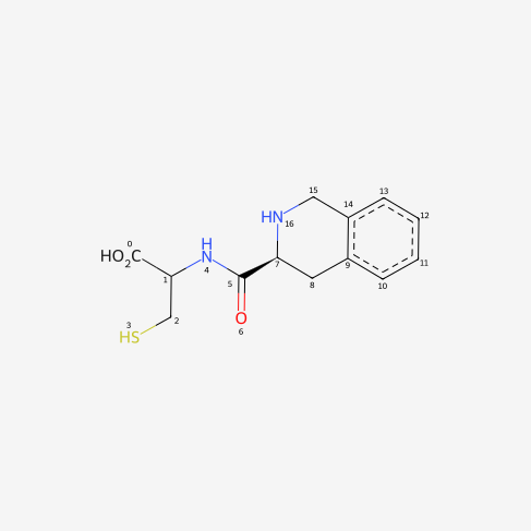 O=C(O)C(CS)NC(=O)[C@@H]1Cc2ccccc2CN1